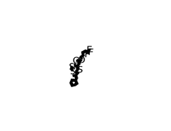 CC(/C=C1\SCSCN(CC(=O)OCC/C=C\C(F)(F)F)C1=S)=C\c1ccccc1